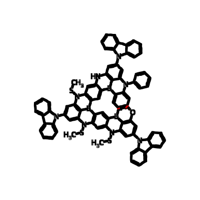 CSN1c2cc3c(cc2B2c4ccccc4Oc4cc(-n5c6ccccc6c6ccccc65)cc1c42)B1c2cc4c(cc2N(SC)c2cc(-n5c6ccccc6c6ccccc65)cc(c21)N3SC)Nc1cc(-n2c3ccccc3c3ccccc32)cc2c1B4c1ccccc1N2c1ccccc1